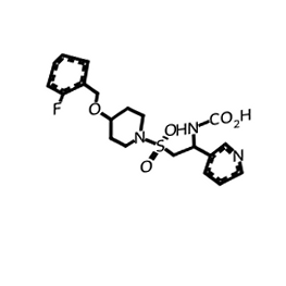 O=C(O)NC(CS(=O)(=O)N1CCC(OCc2ccccc2F)CC1)c1cccnc1